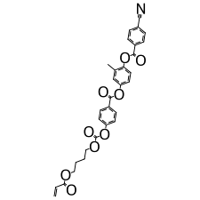 C=CC(=O)OCCCCOC(=O)Oc1ccc(C(=O)Oc2ccc(OC(=O)c3ccc(C#N)cc3)c(C)c2)cc1